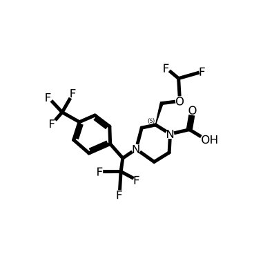 O=C(O)N1CCN(C(c2ccc(C(F)(F)F)cc2)C(F)(F)F)C[C@H]1COC(F)F